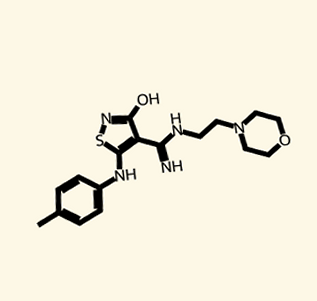 Cc1ccc(Nc2snc(O)c2C(=N)NCCN2CCOCC2)cc1